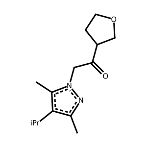 Cc1nn(CC(=O)C2CCOC2)c(C)c1C(C)C